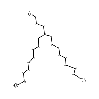 [CH2]CCCC(CCCCCCCCC)CCCCCCCCC